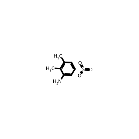 Cc1cccc(N)c1C.O=S(=O)=O